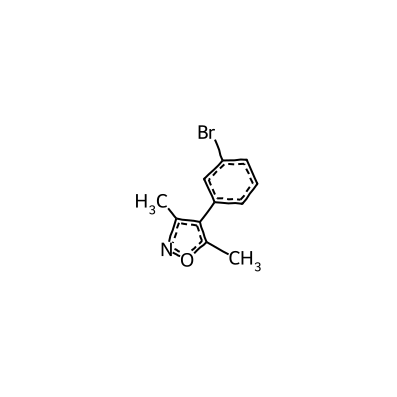 Cc1noc(C)c1-c1cccc(Br)c1